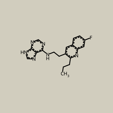 CCCc1nc2cc(F)ccc2cc1CCNc1ncnc2[nH]cnc12